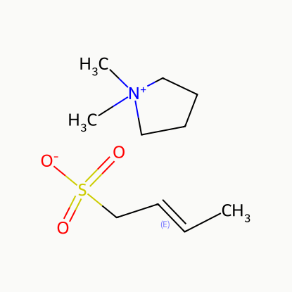 C/C=C/CS(=O)(=O)[O-].C[N+]1(C)CCCC1